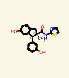 C[C@@]1(C(=O)Nc2nccs2)Cc2ccc(O)cc2[C@@H]1c1cccc(O)c1